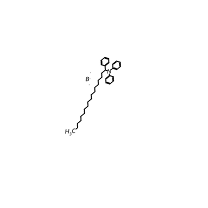 CCCCCCCCCCCCCCCCCC(c1ccccc1)N(c1ccccc1)c1ccccc1.[B]